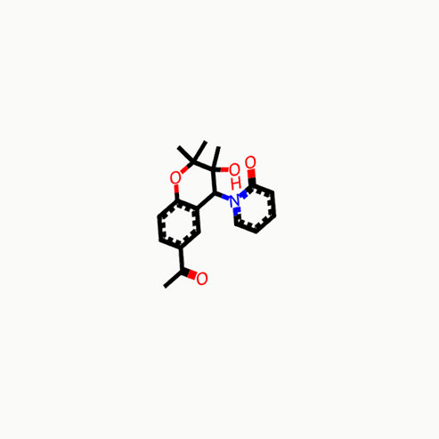 CC(=O)c1ccc2c(c1)C(n1ccccc1=O)C(C)(O)C(C)(C)O2